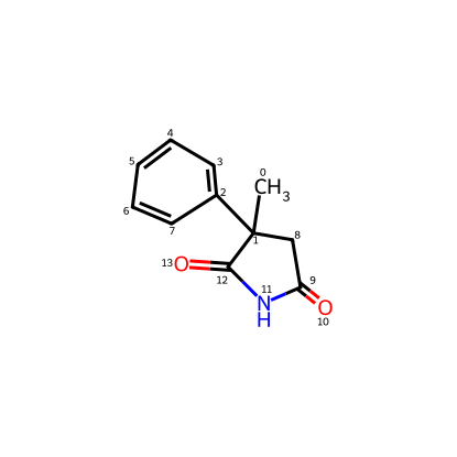 CC1(c2ccccc2)CC(=O)NC1=O